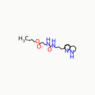 CCCCOC(=O)CCNC(=O)NCCCc1ccc2c(n1)NCCC2